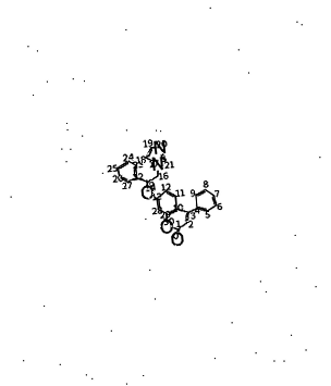 O=c1cc(-c2ccccc2)c2ccc(OC(Cn3ccnc3)c3ccccc3)cc2o1